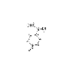 CCN(C=O)C1CCN(C)CC1